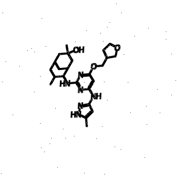 Cc1cc(Nc2cc(OCC3CCOC3)nc(NC3C(C)CC4CC3CC(C)(O)C4)n2)n[nH]1